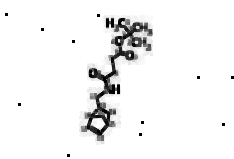 CC(C)(C)OC(=O)CCC(=O)NCC1CC2C=CC1C2